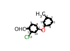 Cc1cccc(Oc2ccc(C=O)c(Cl)c2)c1